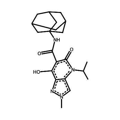 CC(C)n1c(=O)c(C(=O)NC23CC4CC(CC(C4)C2)C3)c(O)c2nn(C)cc21